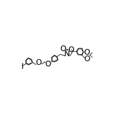 CC1(C)OCc2cc(C3CN(CCc4ccc(OCCOCc5cccc(I)c5)cc4)C(=O)O3)ccc2O1